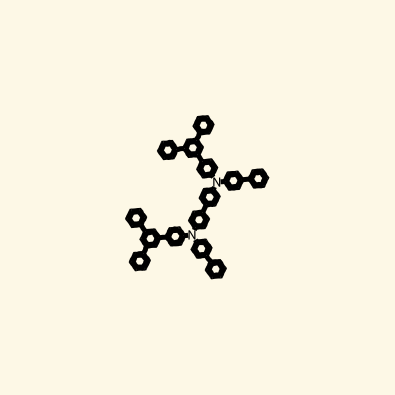 c1ccc(-c2ccc(N(c3ccc(-c4ccc(N(c5ccc(-c6ccccc6)cc5)c5ccc(-c6cc(-c7ccccc7)cc(-c7ccccc7)c6)cc5)cc4)cc3)c3ccc(-c4cc(-c5ccccc5)cc(-c5ccccc5)c4)cc3)cc2)cc1